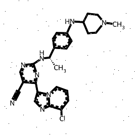 C[C@H](Nc1ncc(C#N)c(-c2cnc3c(Cl)cccn23)n1)c1ccc(NC2CCN(C)CC2)cc1